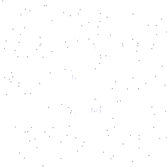 O=C(N[C@@](Cc1ccccc1)(c1ccc(Cl)cn1)c1cccc2c1OC(F)(F)O2)C1CC1